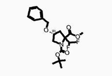 COC(=O)C1(C(F)F)C[C@@H](OCc2ccccc2)CN1C(=O)OC(C)(C)C